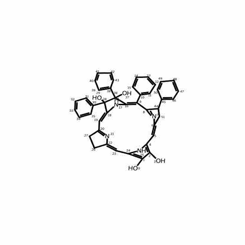 Oc1c(O)c2cc3nc(c(-c4ccccc4)c4[nH]c(cc5nc(cc1[nH]2)CC5)C(O)(c1ccccc1)C4(O)c1ccccc1)C(c1ccccc1)C3